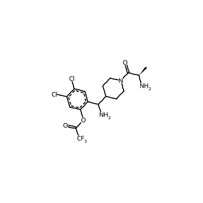 C[C@@H](N)C(=O)N1CCC(C(N)c2cc(Cl)c(Cl)cc2OC(=O)C(F)(F)F)CC1